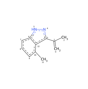 C=C(C)c1n[nH]c2cccc(C)c12